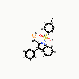 Cc1ccc(S(=O)(=O)n2c(CP)c(-c3ccccc3)c3ccccc32)cc1